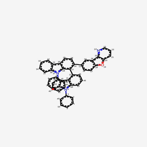 c1ccc(-n2c3ccccc3c3c(-c4c(-c5ccc6oc7cccnc7c6c5)ccc5c6ccccc6n(-c6ccccc6)c45)cccc32)cc1